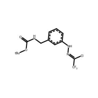 CC(C)(C)OC(=O)NCc1cccc(NN=C(Cl)C(F)(F)F)c1